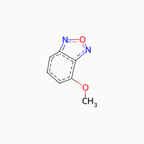 COc1cccc2nonc12